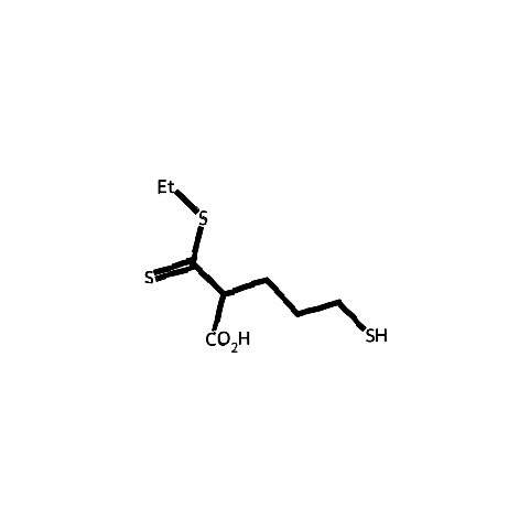 CCSC(=S)C(CCCS)C(=O)O